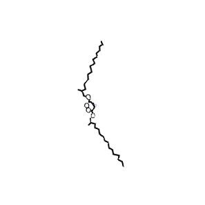 CCCCCCCCCCCCCCC(C)COC(=O)/C=C\C(=O)OCC(C)CCCCCCCCCCCCCC